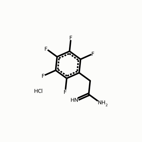 Cl.N=C(N)Cc1c(F)c(F)c(F)c(F)c1F